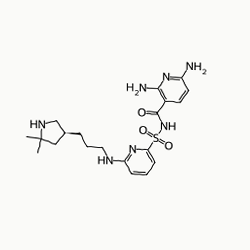 CC1(C)C[C@H](CCCNc2cccc(S(=O)(=O)NC(=O)c3ccc(N)nc3N)n2)CN1